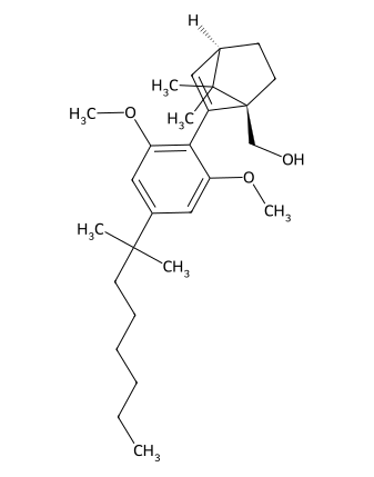 CCCCCCC(C)(C)c1cc(OC)c(C2=C[C@H]3CC[C@@]2(CO)C3(C)C)c(OC)c1